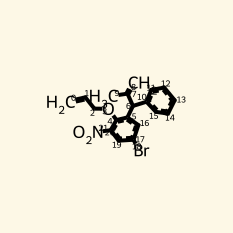 C=CCOc1c(C(C(=C)C)c2ccccc2)cc(Br)cc1[N+](=O)[O-]